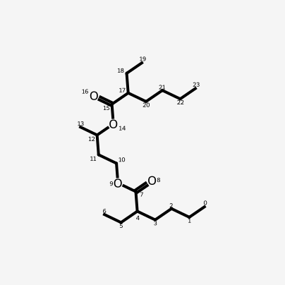 CCCCC(CC)C(=O)OCCC(C)OC(=O)C(CC)CCCC